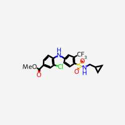 COC(=O)c1ccc(Nc2ccc(S(=O)(=O)NCC3CC3)c(C(F)(F)F)c2)c(Cl)c1